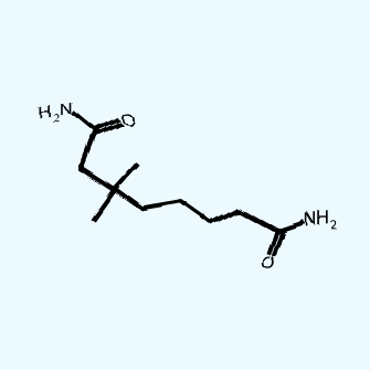 CC(C)(CCCCC(N)=O)CC(N)=O